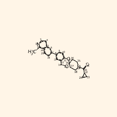 Cc1nccc2cc(-c3ccc4c(c3)COC3(CCN(C(=O)C5CC5)CC3)O4)ccc12